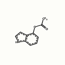 O=C(Oc1cccc2[nH]ccc12)C(F)(F)F